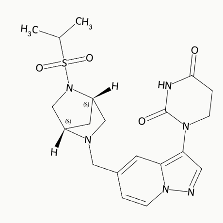 CC(C)S(=O)(=O)N1C[C@@H]2C[C@H]1CN2Cc1ccn2ncc(N3CCC(=O)NC3=O)c2c1